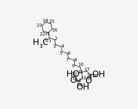 CC(CCCCCCCCCC(O)(CC(=O)O)CC(=O)O)C1CCCCC1